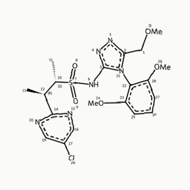 COCc1nnc(NS(=O)(=O)[C@@H](C)[C@H](C)c2ncc(Cl)cn2)n1-c1c(OC)cccc1OC